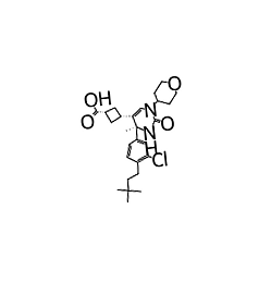 CC(C)(C)CCc1ccc([C@]2(C)NC(=O)N(C3CCOCC3)C=C2[C@H]2C[C@@H](C(=O)O)C2)cc1Cl